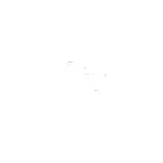 CC(=O)N(C)c1cccc(Nc2ncc(C(N)=O)c(NC(C)C)n2)c1